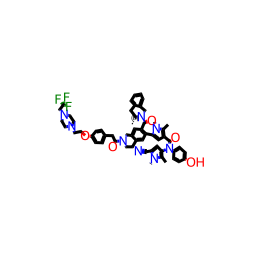 Cc1c(N(C(=O)c2cc(-c3cc4c(cc3C(=O)N3Cc5ccccc5C[C@H]3C)CN(C(=O)Cc3ccc(OCCN5CCN(CC(F)(F)F)CC5)cc3)CC4)n(C)c2C)c2ccc(O)cc2)cc(C#N)n1C